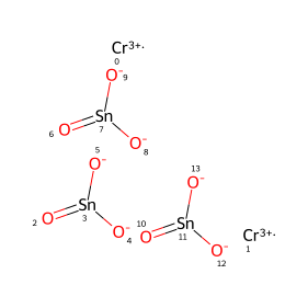 [Cr+3].[Cr+3].[O]=[Sn]([O-])[O-].[O]=[Sn]([O-])[O-].[O]=[Sn]([O-])[O-]